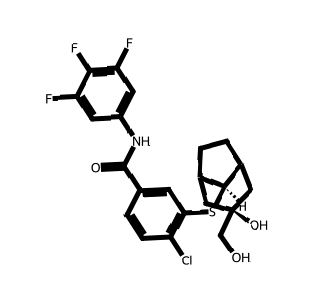 O=C(Nc1cc(F)c(F)c(F)c1)c1ccc(Cl)c(S[C@H]2C3CCC2C[C@](O)(CO)C3)c1